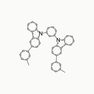 Cc1cccc(-c2ccc3c(c2)c2ccccc2n3-c2cccc(-n3c4ccccc4c4cc(-c5cccc(C)c5)ccc43)c2)c1